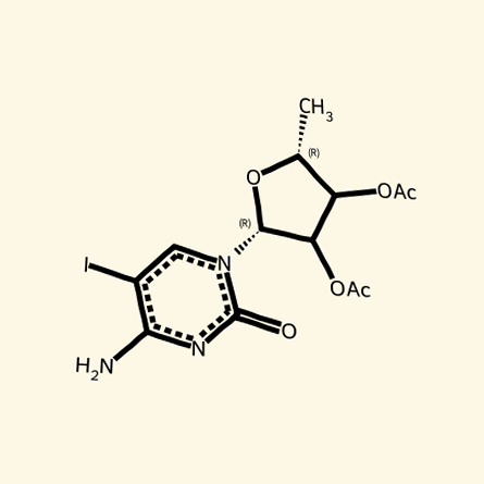 CC(=O)OC1C(OC(C)=O)[C@@H](C)O[C@H]1n1cc(I)c(N)nc1=O